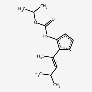 C/C(=C\C(C)C)c1sccc1NC(=O)OC(C)C